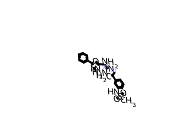 C=C(/C=N\C(N)=C(/N)c1nnc(-c2ccccc2)o1)c1cccc(NS(C)(=O)=O)c1